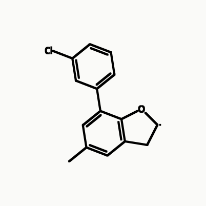 Cc1cc2c(c(-c3cccc(Cl)c3)c1)O[CH]C2